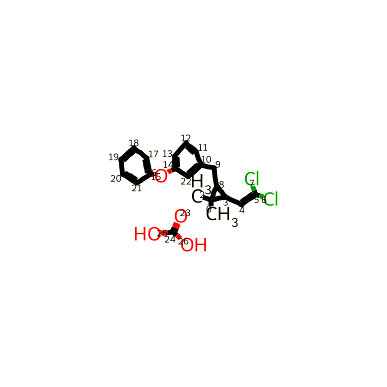 CC1(C)C(C=C(Cl)Cl)C1Cc1cccc(Oc2ccccc2)c1.O=C(O)O